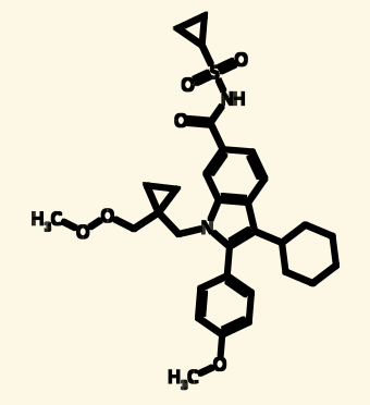 COOCC1(Cn2c(-c3ccc(OC)cc3)c(C3CCCCC3)c3ccc(C(=O)NS(=O)(=O)C4CC4)cc32)CC1